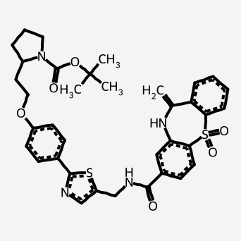 C=C1Nc2cc(C(=O)NCc3cnc(-c4ccc(OCCC5CCCN5C(=O)OC(C)(C)C)cc4)s3)ccc2S(=O)(=O)c2ccccc21